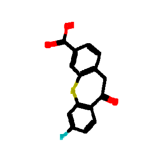 O=C(O)c1ccc2c(c1)Sc1cc(F)ccc1C(=O)C2